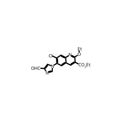 CCOC(=O)c1cc2cc(-n3cnc(C=O)c3)c(Cl)cc2nc1OCC